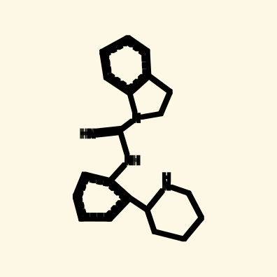 N=C(Nc1ccccc1C1CCCCN1)N1CCc2ccccc21